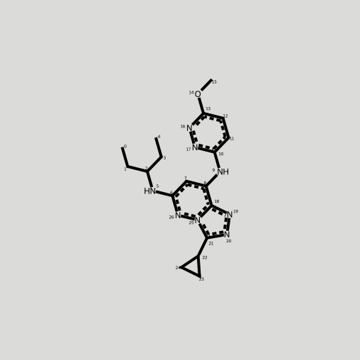 CCC(CC)Nc1cc(Nc2ccc(OC)nn2)c2nnc(C3CC3)n2n1